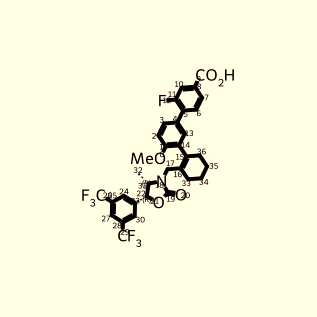 COc1ccc(-c2ccc(C(=O)O)cc2F)cc1C1=C(CN2C(=O)O[C@H](c3cc(C(F)(F)F)cc(C(F)(F)F)c3)[C@@H]2C)CCCC1